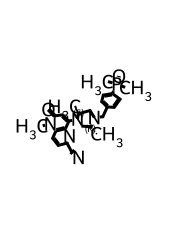 C[C@@H]1CN(c2cc(=O)n(C)c3ccc(C#N)nc23)[C@@H](C)CN1Cc1ccc(P(C)(C)=O)cc1